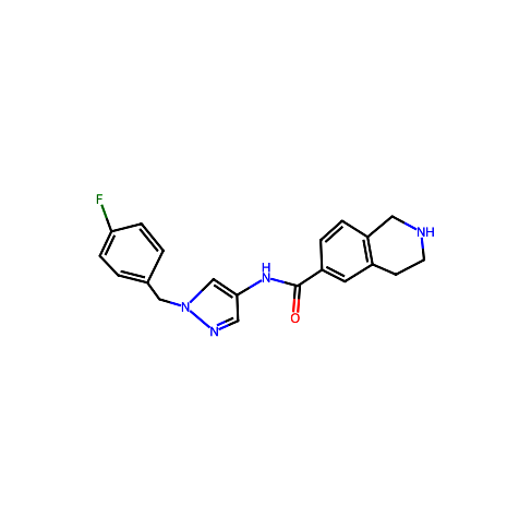 O=C(Nc1cnn(Cc2ccc(F)cc2)c1)c1ccc2c(c1)CCNC2